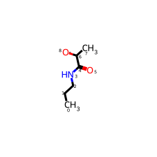 CCCNC(=O)C(C)[O]